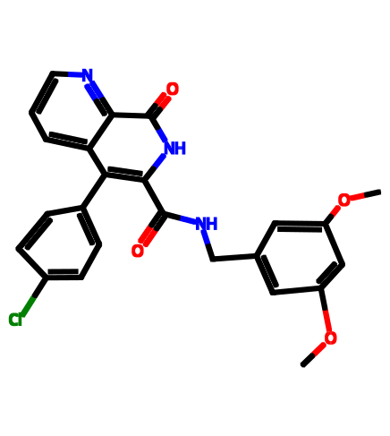 COc1cc(CNC(=O)c2[nH]c(=O)c3ncccc3c2-c2ccc(Cl)cc2)cc(OC)c1